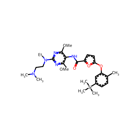 CCN(CCN(C)C)c1nc(OC)c(NC(=O)c2ccc(Oc3cc([Si](C)(C)C)ccc3C)o2)c(OC)n1